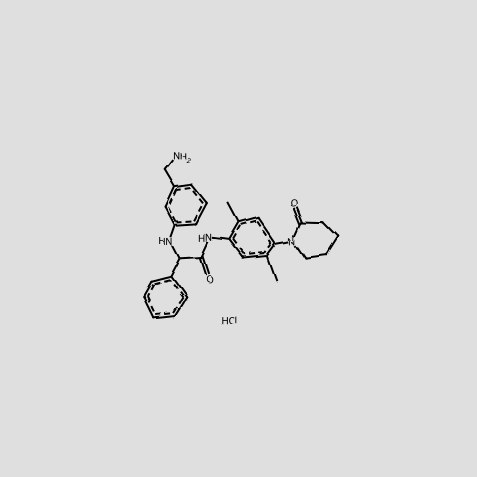 Cc1cc(N2CCCCC2=O)c(C)cc1NC(=O)C(Nc1cccc(CN)c1)c1ccccc1.Cl